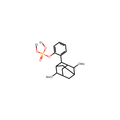 CCOP(=O)(OCC)Oc1ccccc1C1C2CC3CC(CC1C3OC)C2OC